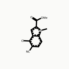 COC(=O)c1cc2c(Cl)c(C#N)ccc2n1C